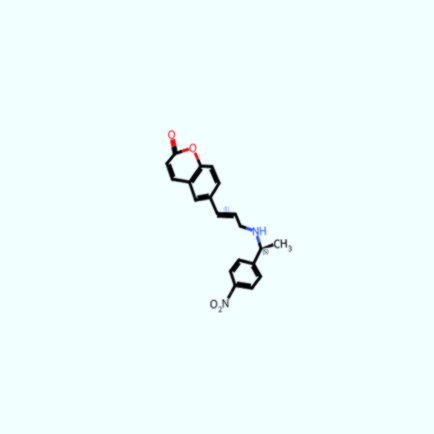 C[C@H](NC/C=C/c1ccc2oc(=O)ccc2c1)c1ccc([N+](=O)[O-])cc1